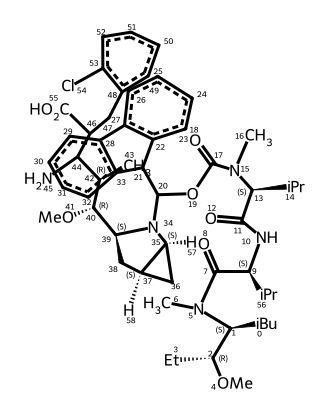 CCC(C)[C@@H]([C@@H](CC)OC)N(C)C(=O)[C@@H](NC(=O)[C@H](C(C)C)N(C)C(=O)OC(C1c2ccccc2-c2ccccc21)N1[C@H]2C[C@H]2C[C@H]1[C@H](OC)[C@H](C)C(N)C(Cc1ccccc1Cl)C(=O)O)C(C)C